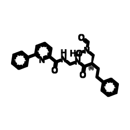 O=CN(O)C[C@@H](CCc1ccccc1)C(=O)NCNC(=O)c1cccc(-c2ccccc2)n1